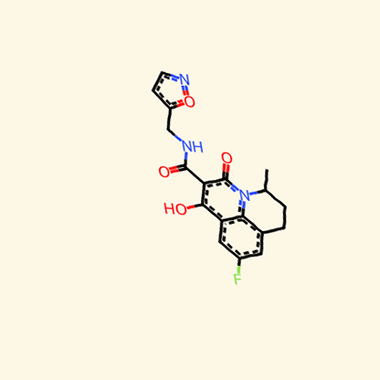 CC1CCc2cc(F)cc3c(O)c(C(=O)NCc4ccno4)c(=O)n1c23